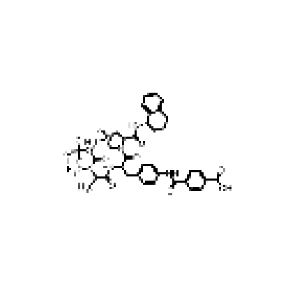 CC(C(=O)NC(Cc1ccc(NC(=O)c2ccc(C(=O)O)cc2)cc1)C(=O)N1C[Si](C)(C)CC1C(=O)N[C@@H]1CCCc2ccccc21)N(C)C(=O)OC(C)(C)C